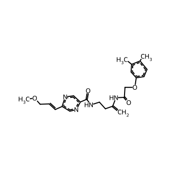 C=C(CCNC(=O)c1cnc(/C=C/COC)cn1)NC(=O)COc1ccc(C)c(C)c1